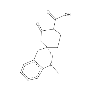 CN1C[C@]2(CCC(C(=O)O)C(=O)C2)Cc2ccccc21